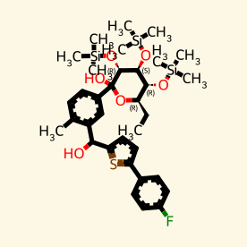 CC[C@H]1OC(O)(c2ccc(C)c(C(O)c3ccc(-c4ccc(F)cc4)s3)c2)[C@H](O[Si](C)(C)C)[C@@H](O[Si](C)(C)C)[C@@H]1O[Si](C)(C)C